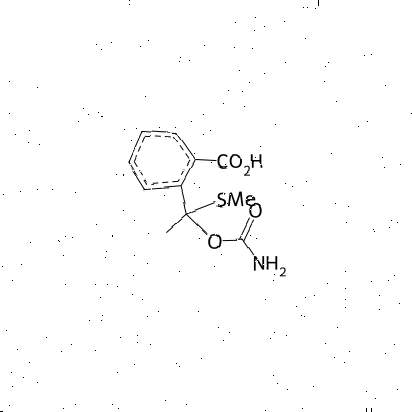 CSC(C)(OC(N)=O)c1ccccc1C(=O)O